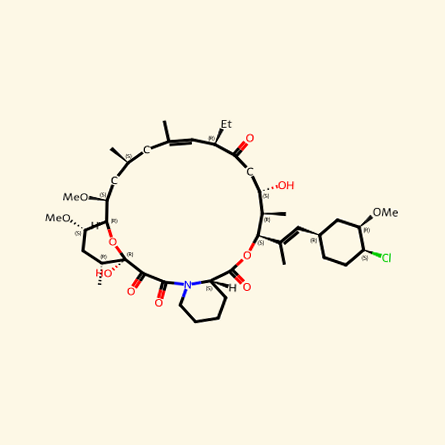 CC[C@@H]1C=C(C)C[C@H](C)C[C@H](OC)[C@H]2O[C@@](O)(C(=O)C(=O)N3CCCC[C@H]3C(=O)O[C@H](C(C)=C[C@@H]3CC[C@H](Cl)[C@H](OC)C3)[C@H](C)[C@@H](O)CC1=O)[C@H](C)C[C@@H]2OC